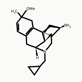 COC1(C)C=CC2=C(C1)[C@]13CCN(CC4CC4)[C@H](C2)[C@]12CC[C@@](N)(CO2)C3